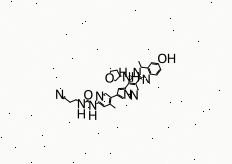 CCc1cc(O)ccc1/N=C(\N)c1cnn2cc(-c3cnc(NC(=O)NCCC#N)cc3C)cc2c1N[C@H]1CCOC1